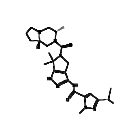 CC(C)c1cc(C(=O)Nc2n[nH]c3c2CN(C(=O)N2C[C@@H]4CCCN4C[C@@H]2C)C3(C)C)n(C)n1